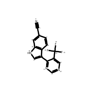 N#Cc1ccc2c(-c3ncncc3C(F)(F)F)c[nH]c2c1